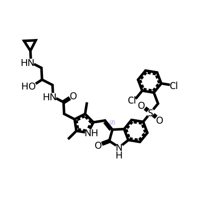 Cc1[nH]c(/C=C2\C(=O)Nc3ccc(S(=O)(=O)Cc4c(Cl)cccc4Cl)cc32)c(C)c1CC(=O)NCC(O)CNC1CC1